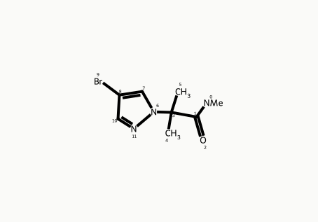 CNC(=O)C(C)(C)n1cc(Br)cn1